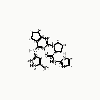 CC(C)c1cc(Nc2nc(N3CCC[C@H]3C(=O)Nc3ncc[nH]3)nc3c2CCC3)n[nH]1